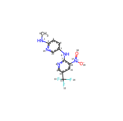 CNc1ccc(Nc2ncc(C(F)(F)F)cc2[N+](=O)[O-])cn1